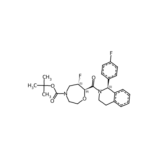 CC(C)(C)OC(=O)N1CCO[C@H](C(=O)N2CCc3ccccc3[C@@H]2c2ccc(F)cc2)[C@@H](F)C1